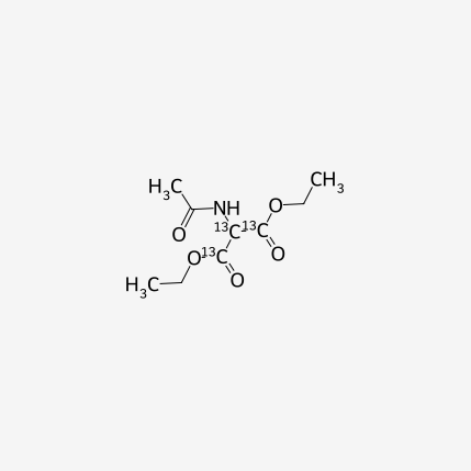 CCO[13C](=O)[13CH](NC(C)=O)[13C](=O)OCC